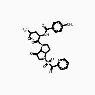 Cc1ccc(C(=O)NC(CC(C)C)C(=O)N2CCC3C2C(=O)CN3S(=O)(=O)C(=O)c2ccccn2)cc1